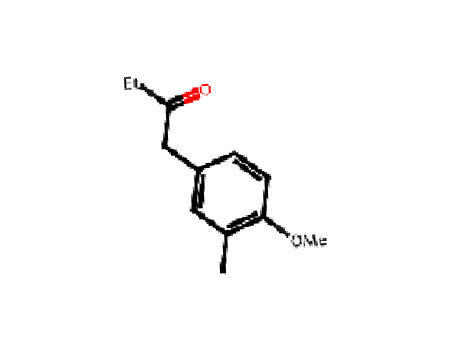 CCC(=O)Cc1ccc(OC)c(C)c1